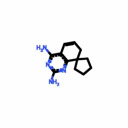 Nc1nc(N)c2c(n1)C1(CC=C2)CCCC1